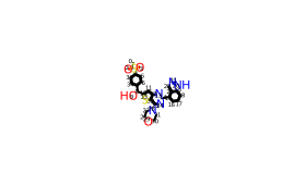 CS(=O)(=O)c1ccc(C(O)c2cc3nc(-c4cccc5[nH]ncc45)nc(N4CCOCC4)c3s2)cc1